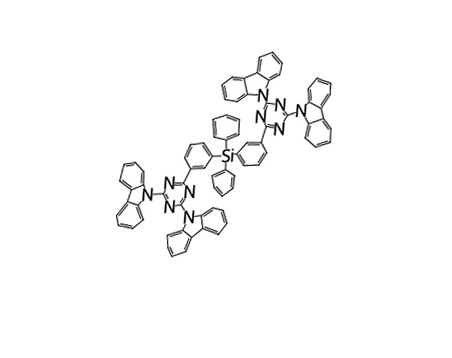 c1ccc([Si](c2ccccc2)(c2cccc(-c3nc(-n4c5ccccc5c5ccccc54)nc(-n4c5ccccc5c5ccccc54)n3)c2)c2cccc(-c3nc(-n4c5ccccc5c5ccccc54)nc(-n4c5ccccc5c5ccccc54)n3)c2)cc1